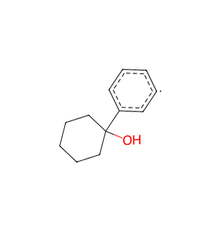 OC1(c2c[c]ccc2)CCCCC1